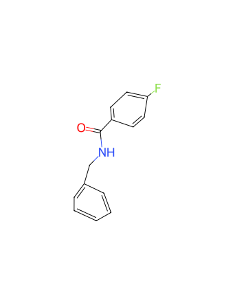 O=C(NCc1ccccc1)c1ccc(F)cc1